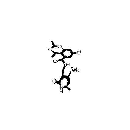 CSc1cc(C)[nH]c(=O)c1CNC(=O)c1cc(Cl)cc2c1C(C)OC(C)O2